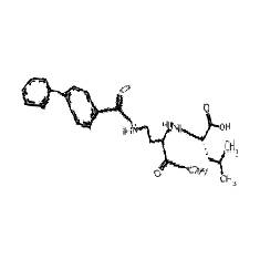 CC(C)C[C@H](NC(CCNC(=O)c1ccc(-c2ccccc2)cc1)C(=O)O)C(=O)O